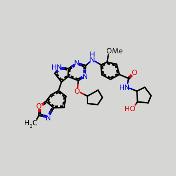 COc1cc(C(=O)NC2CCCC2O)ccc1Nc1nc(OC2CCCC2)c2c(-c3ccc4nc(C)oc4c3)c[nH]c2n1